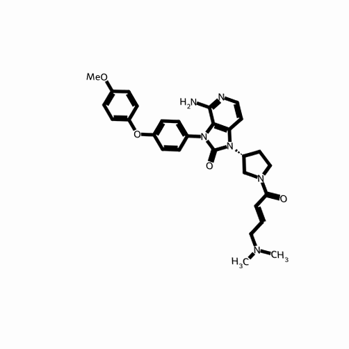 COc1ccc(Oc2ccc(-n3c(=O)n([C@@H]4CCN(C(=O)/C=C/CN(C)C)C4)c4ccnc(N)c43)cc2)cc1